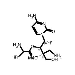 CO[C@](CN)(CO)[C@@H](OC(=O)C(N)C(C)C)[C@@H](F)n1ccc(N)nc1=O